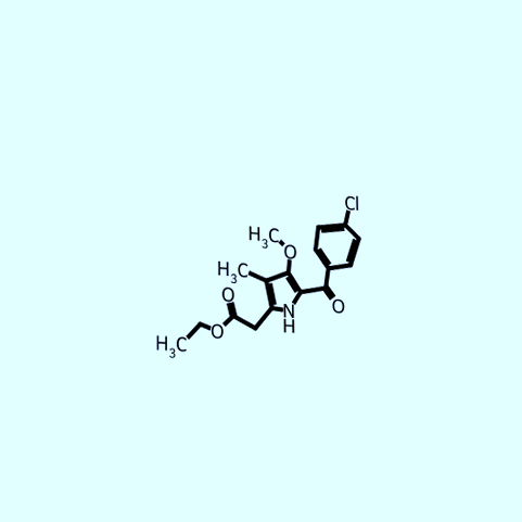 CCOC(=O)Cc1[nH]c(C(=O)c2ccc(Cl)cc2)c(OC)c1C